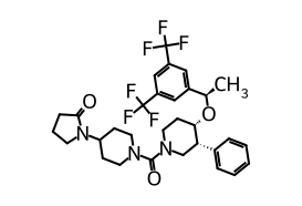 C[C@@H](O[C@H]1CCN(C(=O)N2CCC(N3CCCC3=O)CC2)C[C@H]1c1ccccc1)c1cc(C(F)(F)F)cc(C(F)(F)F)c1